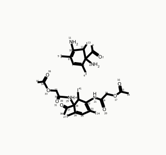 CC(=O)C1(N)C(I)=CC(I)=C(N)C1I.CC(=O)OCC(=O)NC1=C(I)C=C(I)C(NC(=O)COC(C)=O)(C(C)=O)C1I